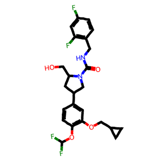 O=C(NCc1ccc(F)cc1F)N1CC(c2ccc(OC(F)F)c(OCC3CC3)c2)CC1CO